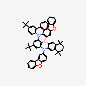 CC(C)(C)c1ccc(N2c3cc4c(cc3B3c5cc6c(cc5N(c5ccc7oc8ccccc8c7c5)c5cc(C(C)(C)C)cc2c53)C(C)(C)CCC6(C)C)oc2ccccc24)c(-c2ccccc2)c1